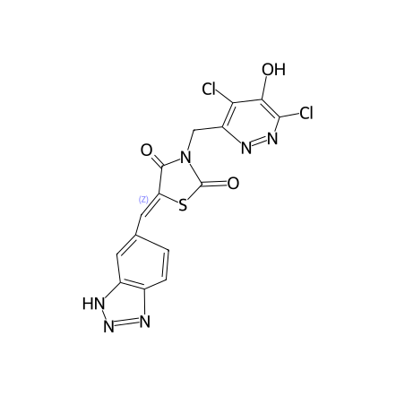 O=C1S/C(=C\c2ccc3nn[nH]c3c2)C(=O)N1Cc1nnc(Cl)c(O)c1Cl